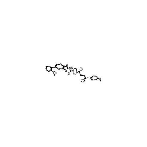 COc1ccc(C(=O)/C=C/C(=O)N2CCN(C(=O)Nc3nc4ccc(-c5ccccc5OC)cc4s3)CC2)cc1